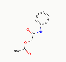 CC(C)(C)C(=O)OCC(=O)Nc1ccccc1